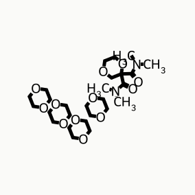 C1COCCO1.C1COCCO1.C1COCCO1.C1COCCO1.CN(C)C(=O)C1(C(=O)N(C)C)COCCO1